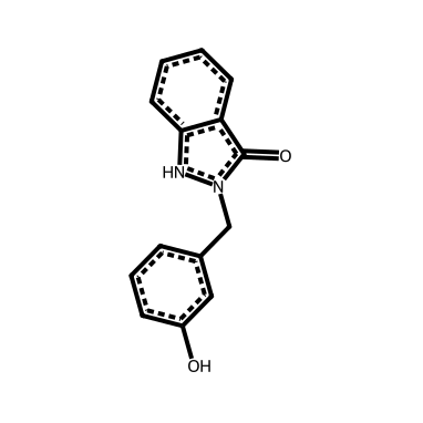 O=c1c2ccccc2[nH]n1Cc1cccc(O)c1